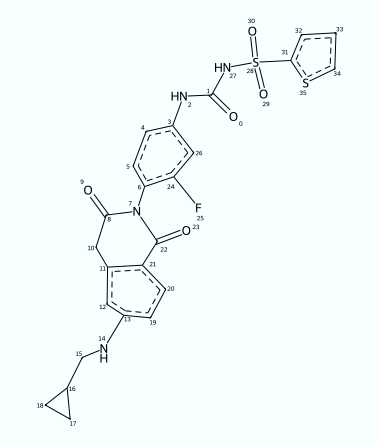 O=C(Nc1ccc(N2C(=O)Cc3cc(NCC4CC4)ccc3C2=O)c(F)c1)NS(=O)(=O)c1cccs1